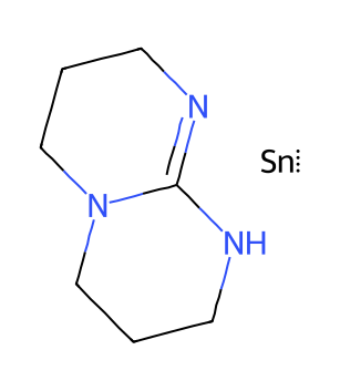 C1CN=C2NCCCN2C1.[Sn]